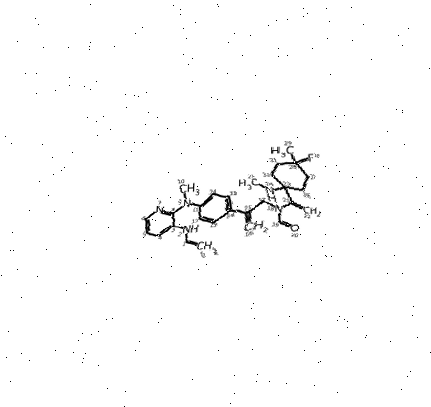 C=CNc1cccnc1N(C)c1ccc(C(=C)CN(C=O)C(=C)C2(NC)CCC(C)(F)CC2)cc1